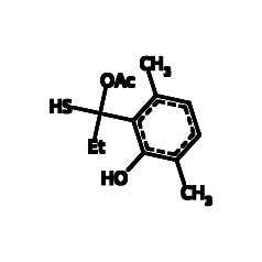 CCC(S)(OC(C)=O)c1c(C)ccc(C)c1O